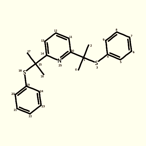 CC(C)(Sc1ccccc1)c1cccc(C(C)(C)Sc2ccccc2)n1